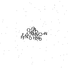 Cc1cc(C#N)cc(C(=O)NC(C)C)c1NC(=O)c1cc(C(=O)c2nc(C(F)(F)F)cs2)nn1-c1ncccc1Cl